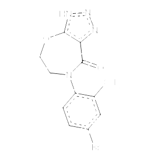 Cc1cc(Br)ccc1N1CCOc2[nH]nnc2C1=O